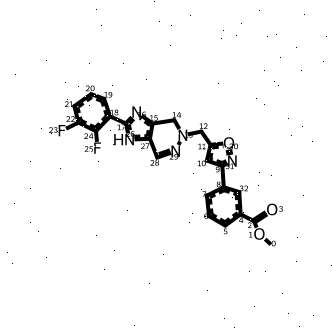 COC(=O)c1cccc(-c2cc(CN3Cc4nc(-c5cccc(F)c5F)[nH]c4C=N3)on2)c1